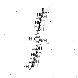 BBBBBBBBBBCCCC(C)SC(C)CCCBBBBBBBBBB